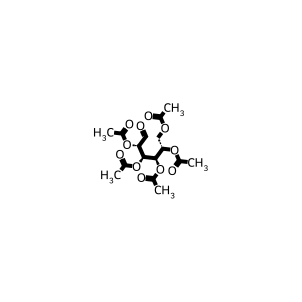 CC(=O)OC[C@H](OC(C)=O)[C@@H](OC(C)=O)[C@@H](OC(C)=O)[C@@H](C=O)OC(C)=O